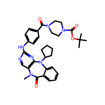 CN1C(=O)c2ccccc2N(C2CCCC2)c2nc(Nc3ccc(C(=O)N4CCN(C(=O)OC(C)(C)C)CC4)cc3)ncc21